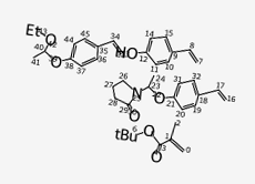 C=C(C)C(=O)OC(C)(C)C.C=Cc1ccc(O)cc1.C=Cc1ccc(OC(C)N2CCCC2=O)cc1.C=Cc1ccc(OC(C)OCC)cc1